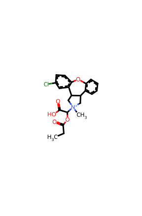 CCC(=O)OC(C(=O)O)[N+]1(C)CC2c3ccccc3Oc3ccc(Cl)cc3C2C1